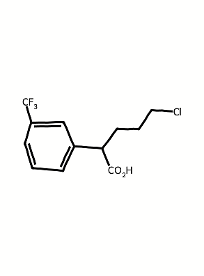 O=C(O)C(CCCCl)c1cccc(C(F)(F)F)c1